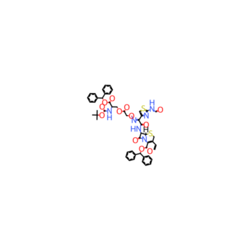 C=CC1=C(C(=O)OC(c2ccccc2)c2ccccc2)N2C(=O)C(NC(=O)C(=NOCC(=O)OCC(NC(=O)OC(C)(C)C)C(=O)OC(c3ccccc3)c3ccccc3)c3csc(NC=O)n3)[C@@H]2SC1